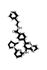 CC1CCCN1c1cccc(Nc2cc(-c3ccc(C(=O)NCCc4ccncc4)cc3)nn3ccnc23)n1